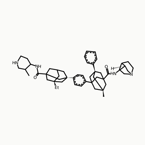 CC[C@]12CC3CC(C(=O)NC4CCNCC4C)(C1)C[C@@](c1ccc(C45CC6(C(=O)N[C@@H]7CN8CCC7CC8)C[C@](C)(C4)C[C@@](c4ccccc4)(C6)C5)cc1)(C3)C2